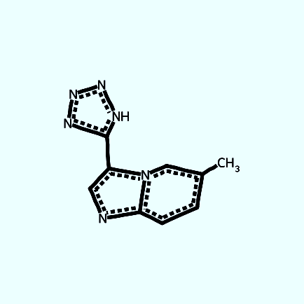 Cc1ccc2ncc(-c3nnn[nH]3)n2c1